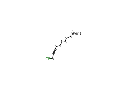 CCCCCCCCCCCC#CCCl